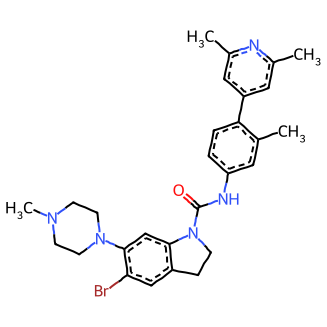 Cc1cc(-c2ccc(NC(=O)N3CCc4cc(Br)c(N5CCN(C)CC5)cc43)cc2C)cc(C)n1